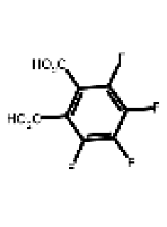 O=C(O)c1c(F)c(F)c(F)c(F)c1C(=O)O